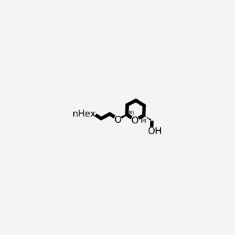 CCCCCCCCO[C@H]1CCC[C@H](CO)O1